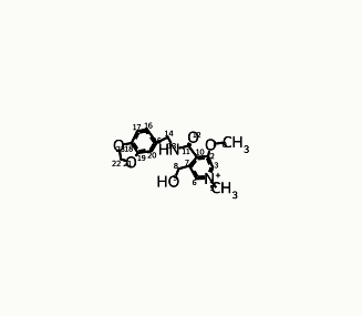 COc1c[n+](C)cc(CO)c1C(=O)NCc1ccc2c(c1)OCO2